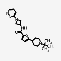 CC(C)(C)N1CCC(c2ccc(C(=O)NC3CN(c4cccnn4)C3)s2)CC1